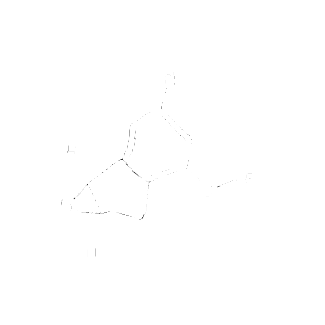 FC(F)(F)Oc1cc(Cl)cc2c1C[C@H]1O[C@@H]21